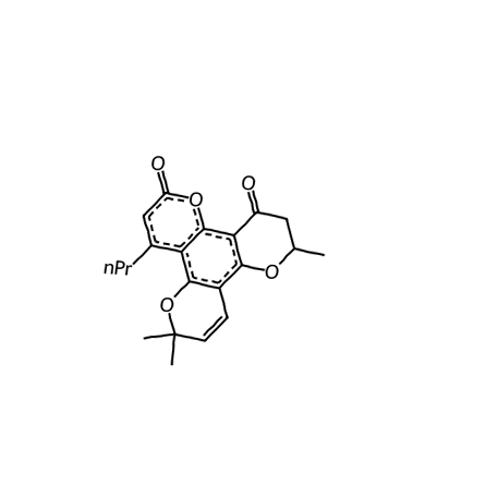 CCCc1cc(=O)oc2c3c(c4c(c12)OC(C)(C)C=C4)OC(C)CC3=O